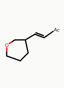 CC(=O)/C=C/C1CCCOC1